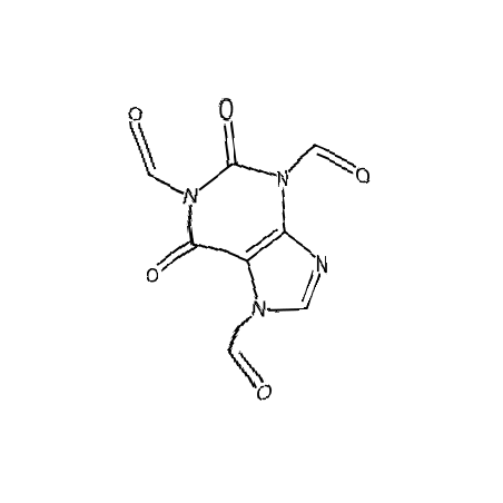 O=Cn1c(=O)c2c(ncn2C=O)n(C=O)c1=O